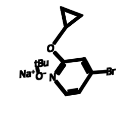 Brc1ccnc(OC2CC2)c1.CC(C)(C)[O-].[Na+]